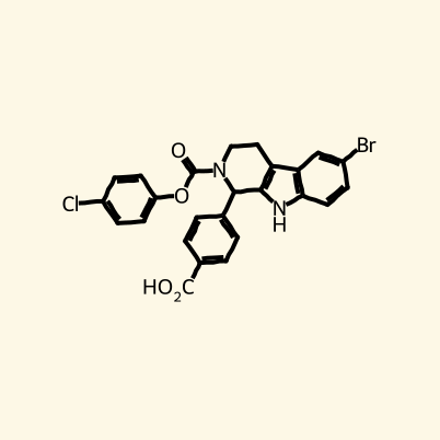 O=C(O)c1ccc(C2c3[nH]c4ccc(Br)cc4c3CCN2C(=O)Oc2ccc(Cl)cc2)cc1